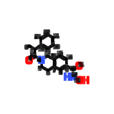 C[C@H](C(=O)N1CCc2cc(C(=O)NO)ccc2C1)c1ccccc1